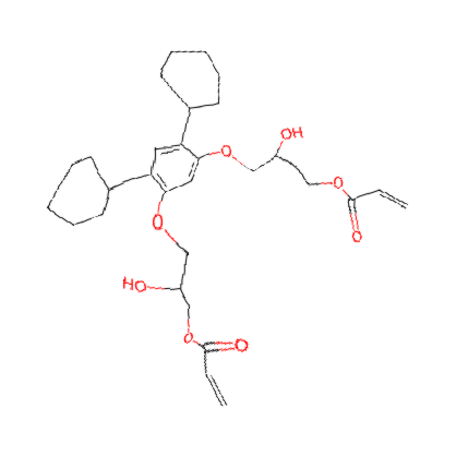 C=CC(=O)OCC(O)COc1cc(OCC(O)COC(=O)C=C)c(C2CCCCC2)cc1C1CCCCC1